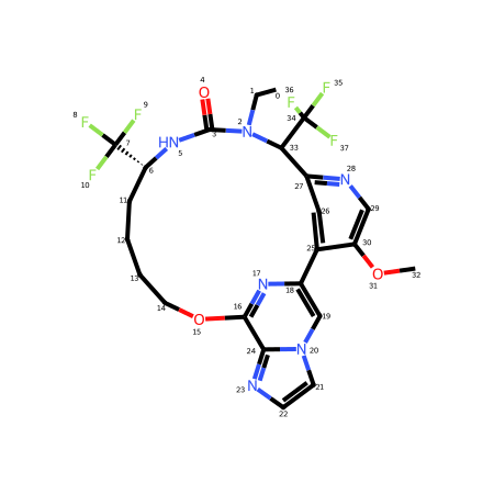 CCN1C(=O)N[C@@H](C(F)(F)F)CCCCOc2nc(cn3ccnc23)-c2cc(ncc2OC)C1C(F)(F)F